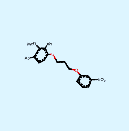 CCCc1c(OCCCOc2cccc([N+](=O)[O-])c2)ccc(C(C)=O)c1OC